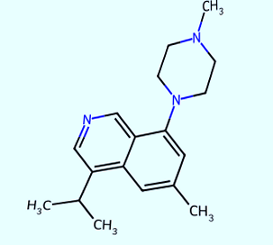 Cc1cc(N2CCN(C)CC2)c2cncc(C(C)C)c2c1